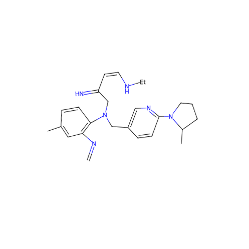 C=Nc1cc(C)ccc1N(CC(=N)/C=C\NCC)Cc1ccc(N2CCCC2C)nc1